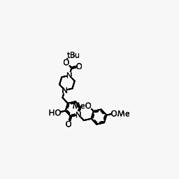 COc1ccc(Cn2ccc(CN3CCN(C(=O)OC(C)(C)C)CC3)c(O)c2=O)c(OC)c1